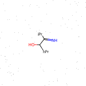 CCCC(O)C(=N)C(C)C